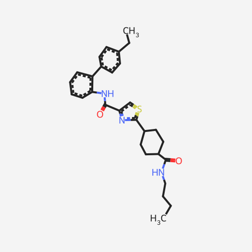 CCCCNC(=O)C1CCC(c2nc(C(=O)Nc3ccccc3-c3ccc(CC)cc3)cs2)CC1